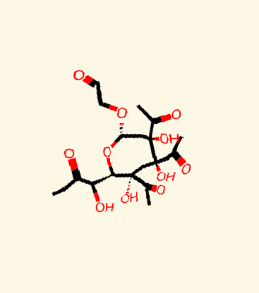 CC(=O)C(O)[C@H]1O[C@H](OCC=O)[C@](O)(C(C)=O)[C@](O)(C(C)=O)[C@@]1(O)C(C)=O